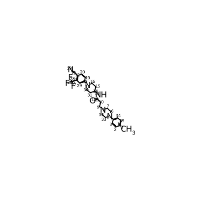 Cc1ccc(N2CCN(CCC(=O)NC3CCN(c4ccc(C#N)c(C(F)(F)F)c4)CC3)CC2)cc1